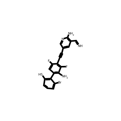 N=Cc1cc(C#Cc2c(F)cc(-c3c(S)cccc3Br)c(N)c2F)cnc1N